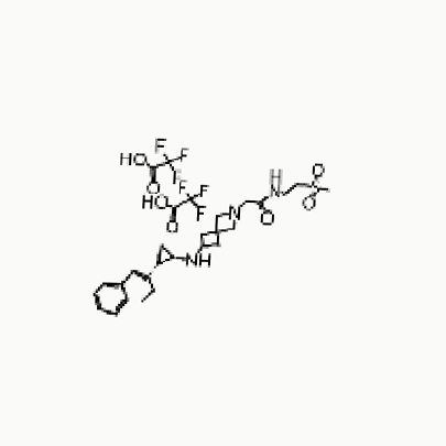 CC/C(=C\c1ccccc1)[C@@H]1C[C@H]1NC1CC2(C1)CN(CC(=O)NCCS(C)(=O)=O)C2.O=C(O)C(F)(F)F.O=C(O)C(F)(F)F